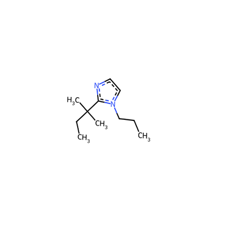 CCCn1ccnc1C(C)(C)CC